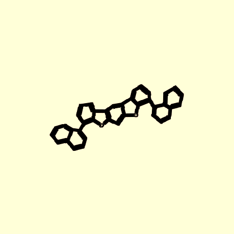 c1ccc2c(-c3cccc4c3oc3cc5oc6c(-c7cccc8ccccc78)cccc6c5cc34)cccc2c1